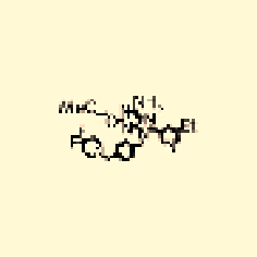 CCc1cncc(-c2nc3c(N)nc(OCCOC)nc3n2Cc2ccc(CN3CCC(F)(F)CC3)cc2)c1